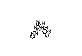 COc1ccc(Nc2nc(-c3cn4ccccc4n3)nc3cn[nH]c23)cc1OC